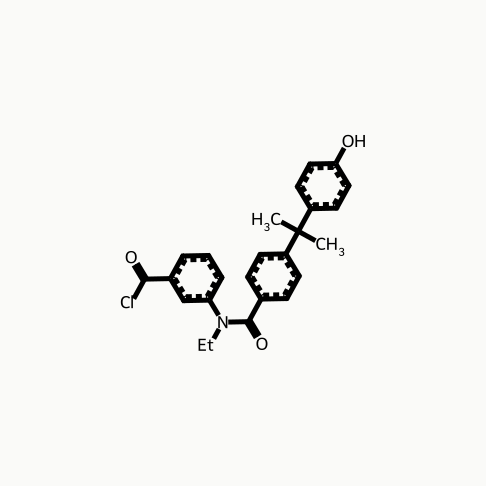 CCN(C(=O)c1ccc(C(C)(C)c2ccc(O)cc2)cc1)c1cccc(C(=O)Cl)c1